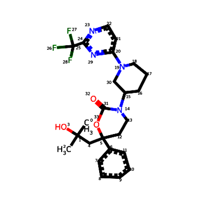 CC(C)(O)CC1(c2ccccc2)CCN(C2CCCN(c3ccnc(C(F)(F)F)n3)C2)C(=O)O1